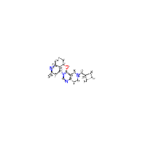 CCC(Oc1ncnc2c1CN(CC1CCC1)CC2)c1ccc(C)nc1C